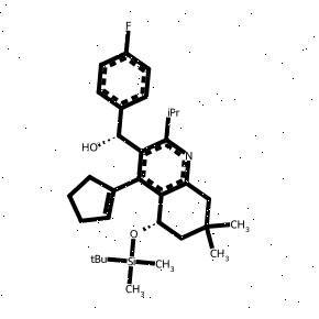 CC(C)c1nc2c(c(C3=CCCC3)c1[C@H](O)c1ccc(F)cc1)[C@@H](O[Si](C)(C)C(C)(C)C)CC(C)(C)C2